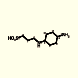 NC1CCC(NCCCS(=O)(=O)O)CC1